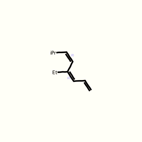 C=C/C=C(\C=C/C(C)C)CC